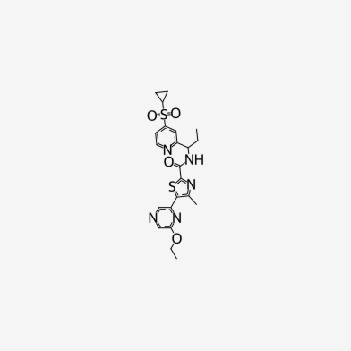 CCOc1cncc(-c2sc(C(=O)NC(CC)c3cc(S(=O)(=O)C4CC4)ccn3)nc2C)n1